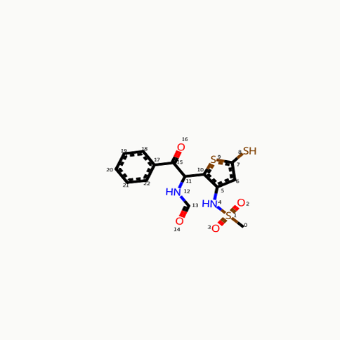 CS(=O)(=O)Nc1cc(S)sc1C(NC=O)C(=O)c1ccccc1